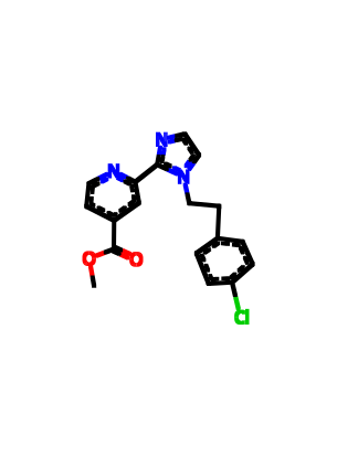 COC(=O)c1ccnc(-c2nccn2CCc2ccc(Cl)cc2)c1